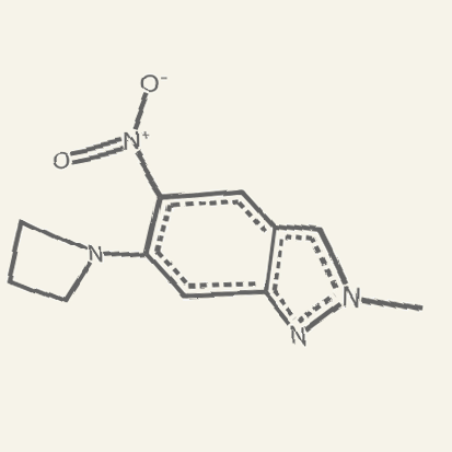 Cn1cc2cc([N+](=O)[O-])c(N3CCC3)cc2n1